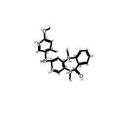 COc1cc(C)c(Nc2cc3c(cn2)N(C)C(=O)c2ccccc2N3C)cn1